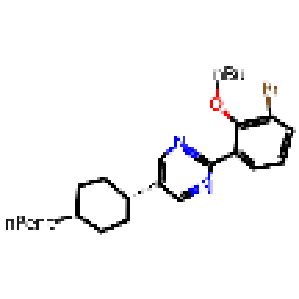 CCCCC[C@H]1CC[C@H](c2cnc(-c3cccc(Br)c3OCCCC)nc2)CC1